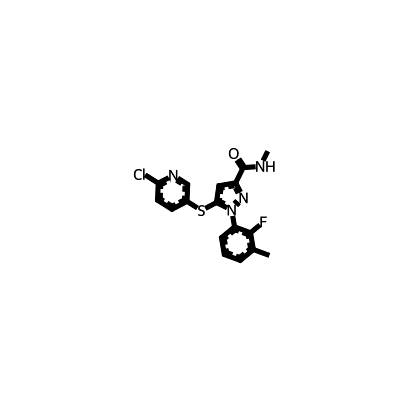 CNC(=O)c1cc(Sc2ccc(Cl)nc2)n(-c2cccc(C)c2F)n1